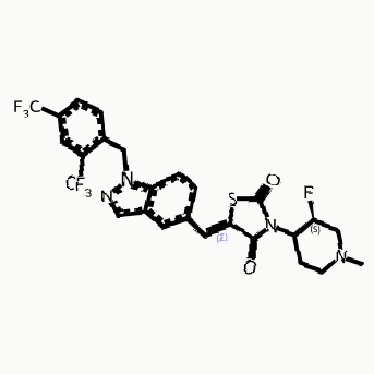 CN1CCC(N2C(=O)S/C(=C\c3ccc4c(cnn4Cc4ccc(C(F)(F)F)cc4C(F)(F)F)c3)C2=O)[C@@H](F)C1